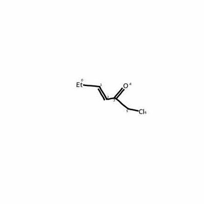 CCC=CC(=O)CCl